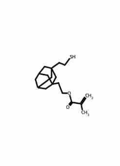 C=C(C)C(=O)OCCC12CC3CC(CC(CCS)(C3)C1)C2